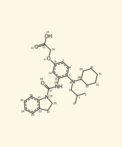 CC(C)CN(c1ccc(OCC(=O)O)cc1NC(=O)N1CCc2ccccc21)C1CCCCC1